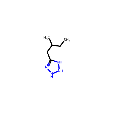 CCC(C)CC1=NNNN1